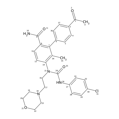 CC(=O)c1ccc(-c2c(C(N)=O)ccc(N(CCN3CCOCC3)C(=O)Nc3ccc(Cl)cc3)c2C)cc1